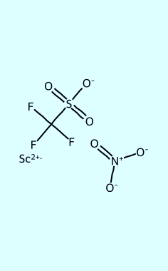 O=S(=O)([O-])C(F)(F)F.O=[N+]([O-])[O-].[Sc+2]